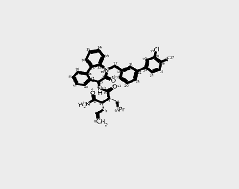 C=CC[C@H](C(N)=O)[C@@H](CC(C)C)C(=O)NC1C(=O)N(Cc2cccc(-c3ccc(F)c(Cl)c3)c2)c2ccccc2-c2ccccc21